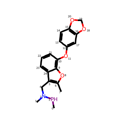 CPN(C)Cc1c(C)oc2c(Oc3ccc4c(c3)OCO4)cccc12